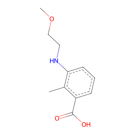 COCCNc1cccc(C(=O)O)c1C